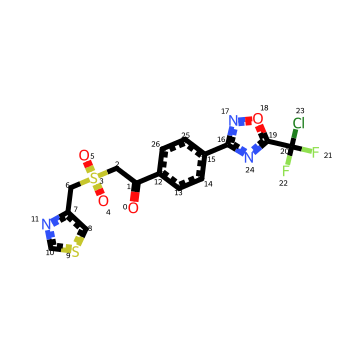 O=C(CS(=O)(=O)Cc1cscn1)c1ccc(-c2noc(C(F)(F)Cl)n2)cc1